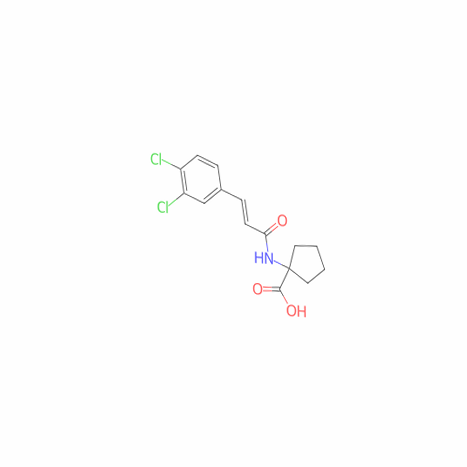 O=C(/C=C/c1ccc(Cl)c(Cl)c1)NC1(C(=O)O)CCCC1